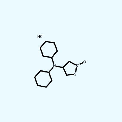 Cl.[O-][S+]1CC(N(C2CCCCC2)C2CCCCC2)CS1